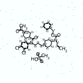 C=CCN(C(=O)OCc1ccccc1)C1CCN(CCCN(C(=O)C2CCN(C(C)=O)CC2)c2ccc(Cl)c(Cl)c2)CC1.CS(=O)(=O)O